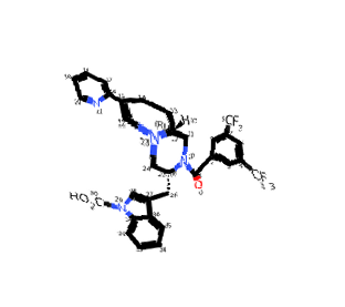 O=C(c1cc(C(F)(F)F)cc(C(F)(F)F)c1)N1C[C@H]2CCC(c3ccccn3)=CN2C[C@H]1Cc1cn(C(=O)O)c2ccccc12